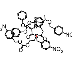 CC(OCc1ccc([N+](=O)[O-])cc1)C1C(=O)N(C(C(=O)OCc2ccc([N+](=O)[O-])cc2)=P(Oc2ccccc2)(Oc2ccccc2)Oc2ccccc2)C1CC(=O)SCCOC(=O)OCc1ccc([N+](=O)[O-])cc1